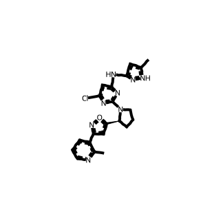 Cc1cc(Nc2cc(Cl)nc(N3CCC[C@H]3c3cc(-c4cccnc4C)no3)n2)n[nH]1